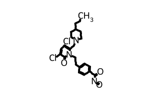 CCCC1CCN(Cc2c(Cl)cc(Cl)c(=O)n2CCc2ccc(C(=O)N=O)cc2)CC1